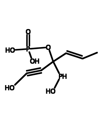 CC=CC(C#CO)(OP(=O)(O)O)PO